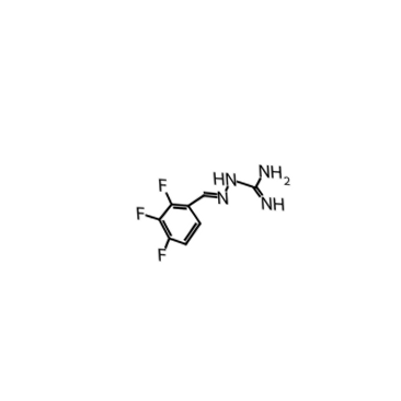 N=C(N)NN=Cc1ccc(F)c(F)c1F